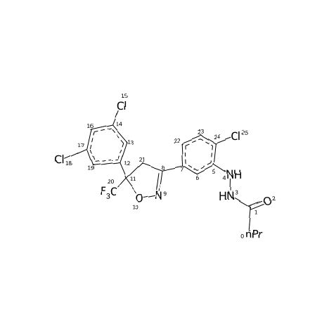 CCCC(=O)NNc1cc(C2=NOC(c3cc(Cl)cc(Cl)c3)(C(F)(F)F)C2)ccc1Cl